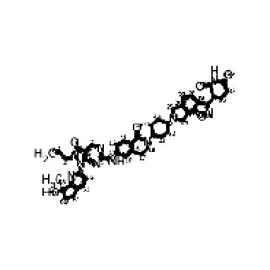 C=CCn1c(=O)c2cnc(Nc3ccc4c(c3)CCN([C@H]3CC[C@H](N5Cc6ccc7c(C8CCC(=O)NC8=O)noc7c6C5)CC3)C4=O)nc2n1-c1ccc2c(n1)[C@](C)(O)CC2